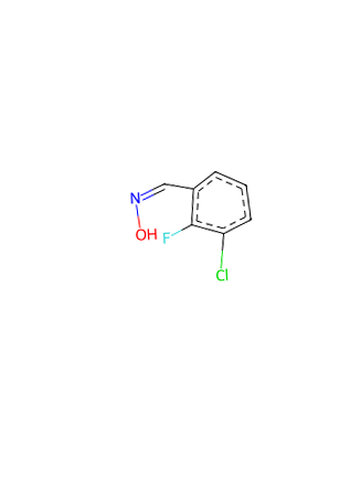 O/N=C\c1cccc(Cl)c1F